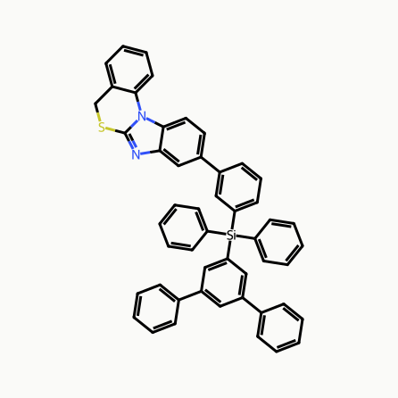 c1ccc(-c2cc(-c3ccccc3)cc([Si](c3ccccc3)(c3ccccc3)c3cccc(-c4ccc5c(c4)nc4n5-c5ccccc5CS4)c3)c2)cc1